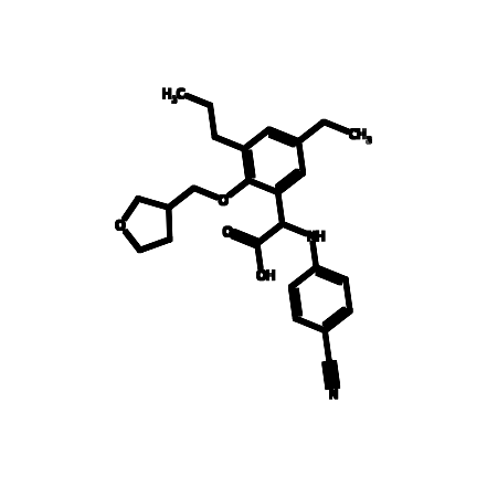 CCCc1cc(CC)cc(C(Nc2ccc(C#N)cc2)C(=O)O)c1OCC1CCOC1